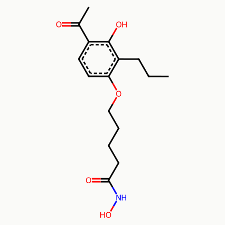 CCCc1c(OCCCCC(=O)NO)ccc(C(C)=O)c1O